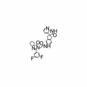 O=C(CN1C(=O)C2(CCCC2)N=C1c1cc(F)cc(F)c1)Nc1ccc2c(c1)CC1(C2)C(=O)Nc2ncccc21